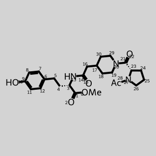 COC(=O)[C@H](CCc1ccc(O)cc1)NC(=O)CC1CCN(C(=O)[C@@H]2CCCN2C(C)=O)CC1